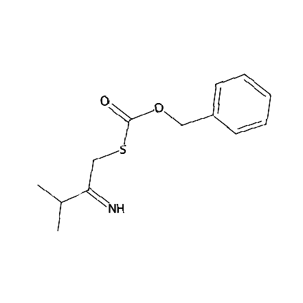 CC(C)C(=N)CSC(=O)OCc1ccccc1